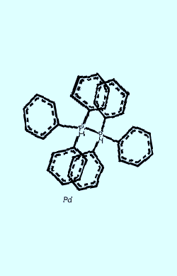 [Pd].c1ccc([PH](c2ccccc2)(c2ccccc2)[PH](c2ccccc2)(c2ccccc2)c2ccccc2)cc1